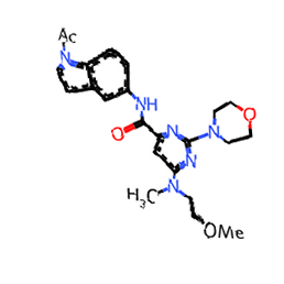 COCCN(C)c1cc(C(=O)Nc2ccc3c(ccn3C(C)=O)c2)nc(N2CCOCC2)n1